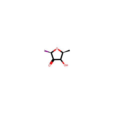 C[C@@H]1O[C@H](I)C(=O)C1O